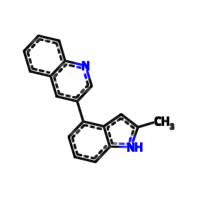 Cc1cc2c(-c3cnc4ccccc4c3)cccc2[nH]1